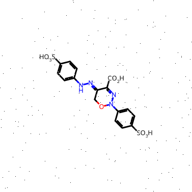 O=C(O)C1=NN(c2ccc(S(=O)(=O)O)cc2)OC/C1=N\Nc1ccc(S(=O)(=O)O)cc1